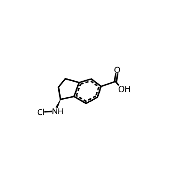 O=C(O)c1ccc2c(c1)CC[C@@H]2NCl